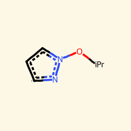 CC(C)On1cc[c]n1